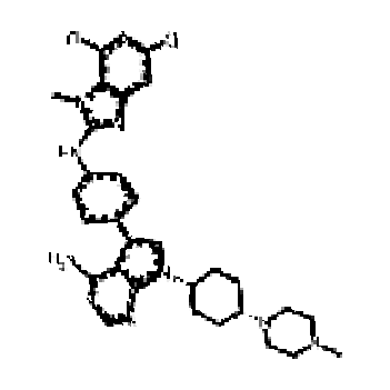 CN1CCN([C@H]2CC[C@@H](n3cc(-c4ccc(Nc5nc6cc(Cl)cc(Cl)c6n5C)cc4)c4c(N)ncnc43)CC2)CC1